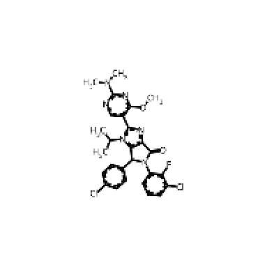 COc1nc(N(C)C)ncc1-c1nc2c(n1C(C)C)C(c1ccc(Cl)cc1)N(c1cccc(Cl)c1F)C2=O